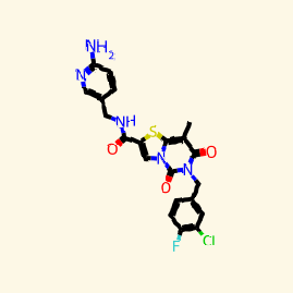 Cc1c(=O)n(Cc2ccc(F)c(Cl)c2)c(=O)n2cc(C(=O)NCc3ccc(N)nc3)sc12